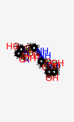 Cc1ccc(NC(=O)Nc2ccc(C)c(S(=O)(=O)Nc3ccc(O)c4cccc(S(=O)(=O)O)c34)c2)cc1S(=O)(=O)Nc1ccc(O)c2cccc(S(=O)(=O)O)c12